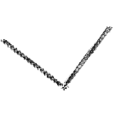 C[N+](C)(C)CC(=O)[O-].Cl.Cl.Cl.Cl.Cl.Cl.Cl.Cl.Cl.Cl.Cl.Cl.Cl.Cl.Cl.Cl.Cl.Cl.Cl.Cl.Cl.Cl.Cl.Cl.Cl.Cl.Cl.Cl.Cl.Cl.Cl.Cl.Cl.Cl.Cl.Cl.Cl.Cl.Cl.Cl.Cl.Cl.Cl.Cl.Cl.Cl.Cl.Cl.Cl.Cl.Cl.Cl.Cl.Cl.Cl.Cl.Cl.Cl.Cl.Cl.Cl.Cl.Cl.Cl.Cl.Cl.Cl.Cl.Cl.Cl.Cl.Cl.Cl.Cl.Cl.Cl.Cl.Cl.Cl.Cl.Cl.Cl.Cl.Cl.Cl.Cl.Cl.Cl.Cl.Cl.Cl.Cl.Cl.Cl.Cl.Cl.Cl.Cl.Cl.Cl